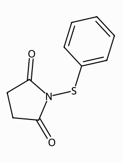 O=C1CCC(=O)N1Sc1ccccc1